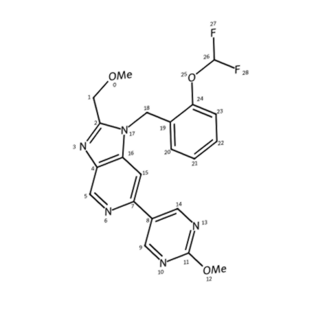 COCc1nc2cnc(-c3cnc(OC)nc3)cc2n1Cc1ccccc1OC(F)F